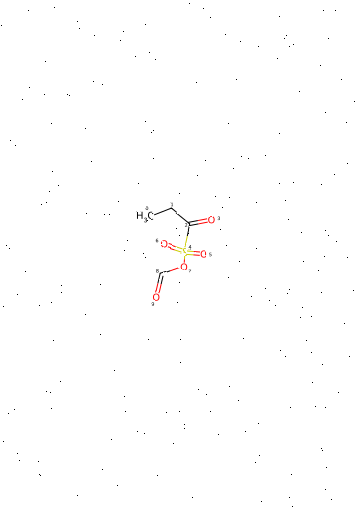 CCC(=O)S(=O)(=O)OC=O